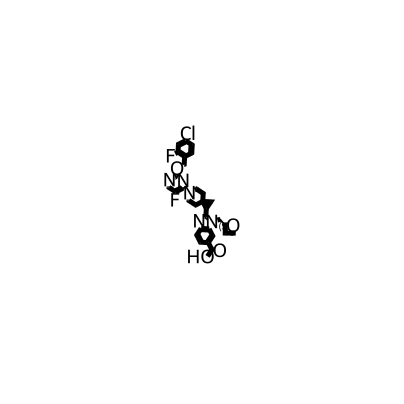 O=C(O)c1ccc2nc(C3CC34CCN(c3nc(OCc5ccc(Cl)cc5F)ncc3F)CC4)n(C[C@@H]3CCO3)c2c1